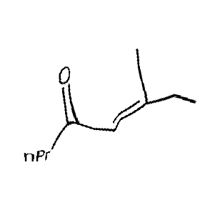 CCCC(=O)C=C(C)C